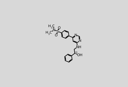 CN(C)S(=O)(=O)c1ccc(-c2cc(NC[C@@H](O)c3ccccc3)ncn2)cc1